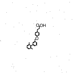 Cc1cccc(C)c1-c1cccc(COc2ccc(CCC(=O)O)cc2)c1